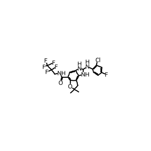 CC1(C)Cc2c3c(cc(C(=O)NCC(F)(F)C(F)(F)F)c2O1)NC(Nc1ccc(F)cc1Cl)N3